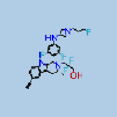 C#Cc1ccc2[nH]c3c(c2c1)C[C@@H](C)N(CC(F)(F)CO)[C@@H]3c1c(F)cc(NC2CN(CCCF)C2)cc1F